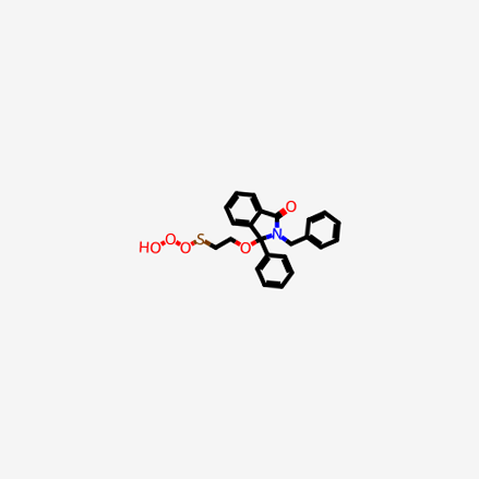 O=C1c2ccccc2C(OCCSOOO)(c2ccccc2)N1Cc1ccccc1